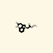 COC(=O)Cn1cc2c3c(cccc31)NC(=O)C2